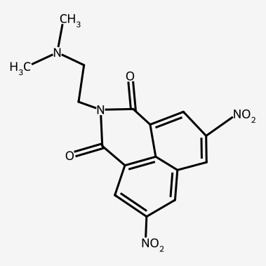 CN(C)CCN1C(=O)c2cc([N+](=O)[O-])cc3cc([N+](=O)[O-])cc(c23)C1=O